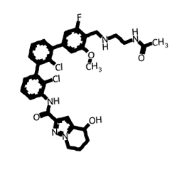 COc1cc(-c2cccc(-c3cccc(NC(=O)c4cc5n(n4)CCCC5O)c3Cl)c2Cl)cc(F)c1CNCCNC(C)=O